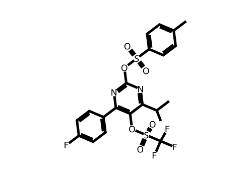 Cc1ccc(S(=O)(=O)Oc2nc(-c3ccc(F)cc3)c(OS(=O)(=O)C(F)(F)F)c(C(C)C)n2)cc1